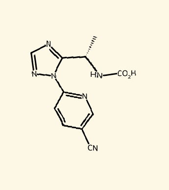 C[C@H](NC(=O)O)c1ncnn1-c1ccc(C#N)cn1